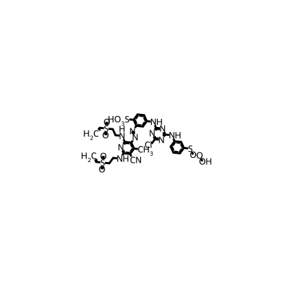 C=CS(=O)(=O)CCNc1nc(NCCS(=O)(=O)C=C)c(/N=N/c2cc(Nc3nc(Cl)nc(Nc4cccc(SOOO)c4)n3)ccc2S(=O)(=O)O)c(C)c1C#N